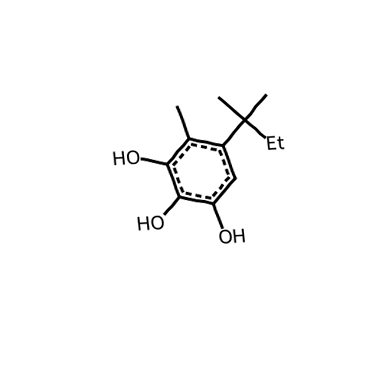 CCC(C)(C)c1cc(O)c(O)c(O)c1C